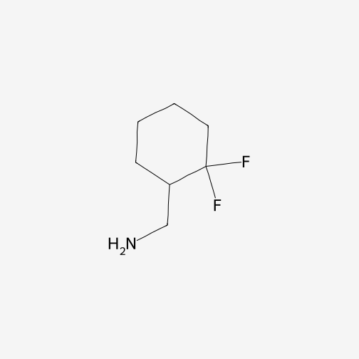 NCC1CCCCC1(F)F